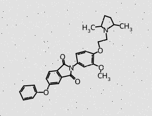 COc1cc(N2C(=O)c3ccc(Oc4ccccc4)cc3C2=O)ccc1OCCN1C(C)CCC1C